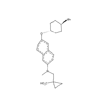 CN(CC1(C(=O)O)CC1)c1ccc2cc(O[C@H]3CC[C@H](C(C)(C)C)CC3)ccc2c1